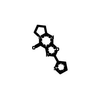 O=c1c2nc(-c3cccs3)oc2nc2n1CCC2